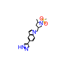 CC1CC(Cn2ccc3cc(-c4cn[nH]c4)ccc32)CN1S(C)(=O)=O